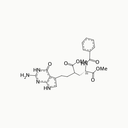 COC(=O)C(CCc1c[nH]c2nc(N)[nH]c(=O)c12)C[C@H](NC(=O)c1ccccc1)C(=O)OC